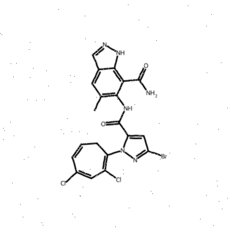 Cc1cc2cn[nH]c2c(C(N)=O)c1NC(=O)c1cc(Br)nn1C1=C(Cl)C=C(Cl)C=CC1